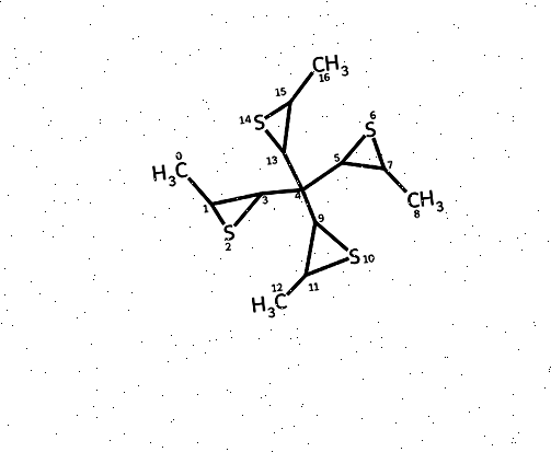 CC1SC1C(C1SC1C)(C1SC1C)C1SC1C